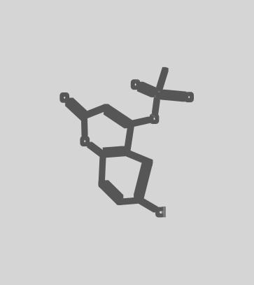 CS(=O)(=O)Oc1cc(=O)oc2ccc(Cl)cc12